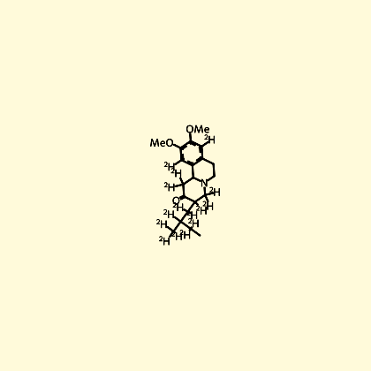 [2H]c1c2c(c([2H])c(OC)c1OC)C1N(CC2)C([2H])([2H])C([2H])(C([2H])([2H])C([2H])(C([2H])([2H])[2H])C([2H])([2H])C)C(=O)C1([2H])[2H]